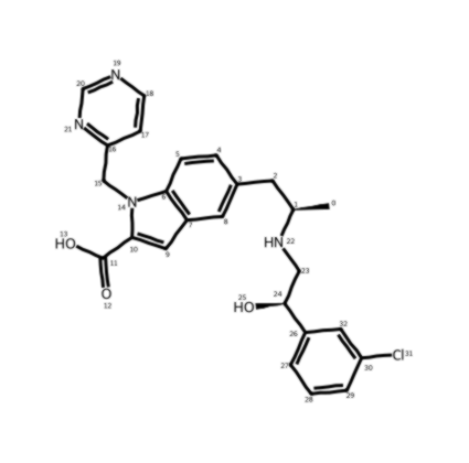 C[C@H](Cc1ccc2c(c1)cc(C(=O)O)n2Cc1ccncn1)NC[C@H](O)c1cccc(Cl)c1